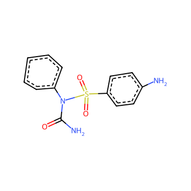 NC(=O)N(c1ccccc1)S(=O)(=O)c1ccc(N)cc1